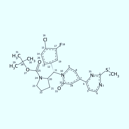 CSc1nccc(-c2ccn([C@@H](c3ccc(Cl)c(F)c3)C3CCCN3C(=O)OC(C)(C)C)c(=O)c2)n1